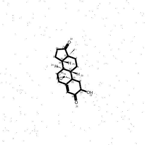 C[C@]12CC[C@H]3[C@@H](CCC4=CC(=O)C(O)C[C@@]43CO)[C@@H]1CCC2=O